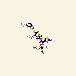 CN1C=CC2=NC(SCC3=C(C(=O)O)N4C(=O)C(NC(=O)/C(=N\OC(C)(C)C(=O)O)c5csc(N)n5)[C@H]4SC3)SC2=C1